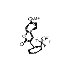 COc1ccc2cc(-c3ccccc3C(F)(F)C(F)(F)F)c(=O)oc2c1